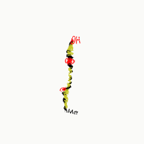 CSCSCSCSC(=O)CSCSCSCSCCOOCCSCSCO